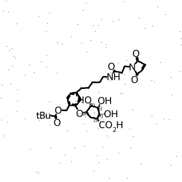 CC(C)(C)C(=O)OCc1ccc(CCCCCNC(=O)CCN2C(=O)C=CC2=O)cc1O[C@@H]1C[C@H](C(=O)O)[C@@H](O)[C@H](O)[C@H]1O